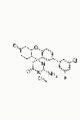 CN1C(=O)CC2(N=C1N)c1cc(-c3cc(F)cc(Cl)c3)ccc1OC1CC(=O)CCC12